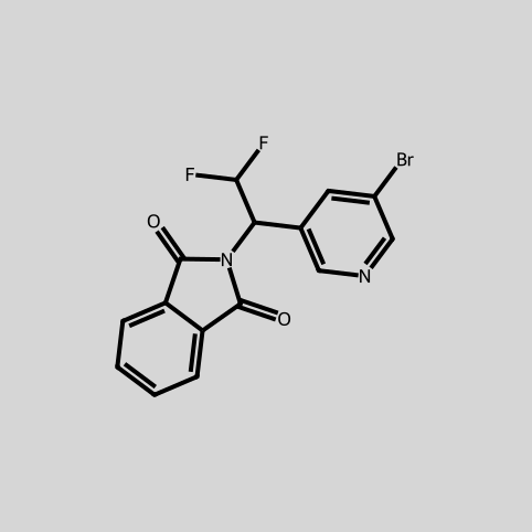 O=C1c2ccccc2C(=O)N1C(c1cncc(Br)c1)C(F)F